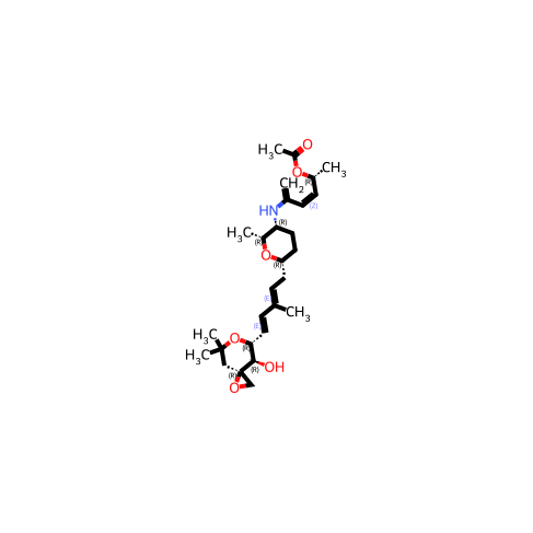 C=C(/C=C\[C@@H](C)OC(C)=O)N[C@@H]1CC[C@H](C/C=C(C)/C=C/[C@H]2OC(C)(C)C[C@@]3(CO3)[C@@H]2O)O[C@@H]1C